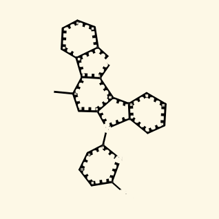 Bc1cccc(-n2c3ccccc3c3c4oc5ccccc5c4c(C)cc32)n1